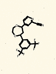 N#Cc1cc(C2CC(c3cc(C(F)(F)F)cc(C(F)(F)F)c3)OCCO2)ccn1